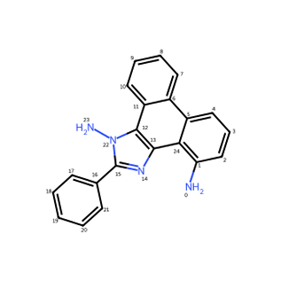 Nc1cccc2c3ccccc3c3c(nc(-c4ccccc4)n3N)c12